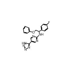 Fc1ccc(C(COc2ccccc2)Nc2ncc(-c3nnn[nH]3)cn2)cc1